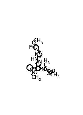 C=CC(=O)N1CCCCC[C@@H]1c1ccc(N2C[C@H](CS(C)(=O)=O)[C@H]2C)c2cnc(Nc3ccnc(N4CC[C@@H](OC)[C@@H](F)C4)n3)cc12